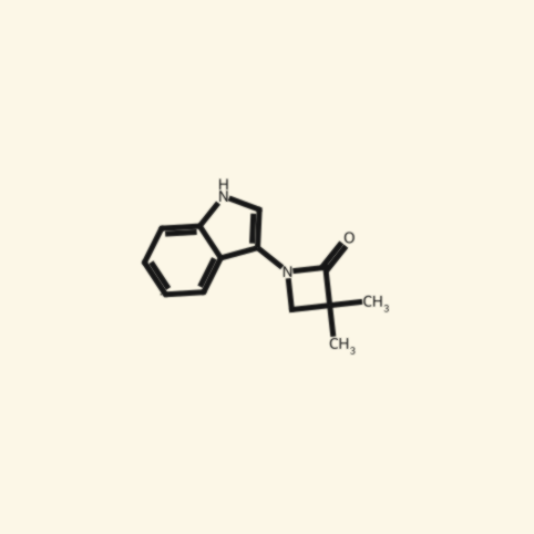 CC1(C)CN(c2c[nH]c3cc[c]cc23)C1=O